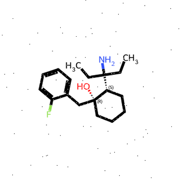 CCC(N)(CC)[C@@H]1CCCC[C@@]1(O)Cc1ccccc1F